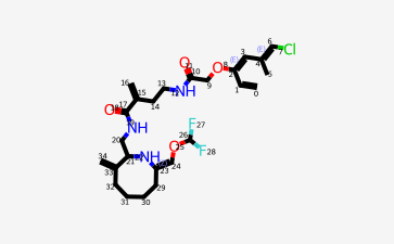 C=C/C(=C\C(C)=C\Cl)OCC(=O)NCCC(=C)C(=O)NCC1N/C(=C\OC(F)F)CCCCC1=C